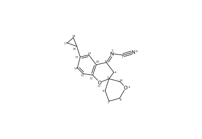 N#C/N=C1\CC2(CCCOC2)Oc2ccc(C3CC3)cc21